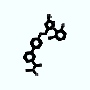 CCN(CC)C(=O)c1cccc(-c2ccc(OCc3cc(C(F)(F)F)nn3-c3c(Cl)cccc3Cl)cc2)c1